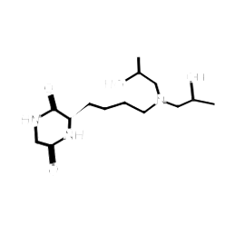 CC(O)CN(CCCC[C@H]1NC(=O)CNC1=O)CC(C)O